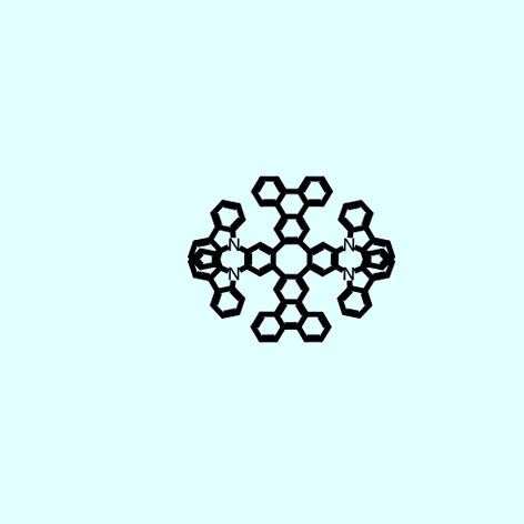 c1ccc2c(c1)c1ccccc1c1cc3c(cc21)-c1cc(-n2c4ccccc4c4ccccc42)c(-n2c4ccccc4c4ccccc42)cc1-c1cc2c4ccccc4c4ccccc4c2cc1-c1cc(-n2c4ccccc4c4ccccc42)c(-n2c4ccccc4c4ccccc42)cc1-3